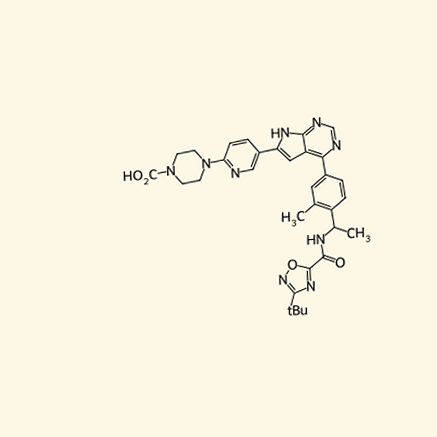 Cc1cc(-c2ncnc3[nH]c(-c4ccc(N5CCN(C(=O)O)CC5)nc4)cc23)ccc1C(C)NC(=O)c1nc(C(C)(C)C)no1